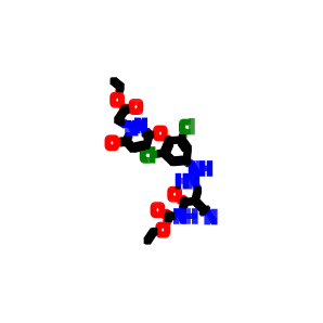 CCOC(=O)Cn1nc(Oc2c(Cl)cc(NNCC(C#N)C(=O)NC(=O)OCC)cc2Cl)ccc1=O